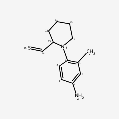 Cc1cc(N)ccc1N1CCCCC1C=S